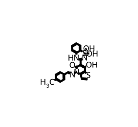 Cc1ccc(C=Nn2c(=O)c(C3=NS(O)(O)c4ccccc4N3)c(O)c3sccc32)cc1